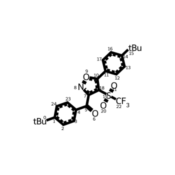 CC(C)(C)c1ccc(C(=O)c2noc(-c3ccc(C(C)(C)C)cc3)c2S(=O)(=O)C(F)(F)F)cc1